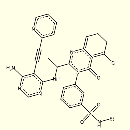 CCNS(=O)(=O)c1cccc(-n2c(C(C)Nc3ncnc(N)c3C#Cc3ccccn3)nc3c(c2=O)=C(Cl)CCC=3)c1